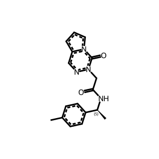 Cc1ccc([C@H](C)NC(=O)Cn2ncc3cccn3c2=O)cc1